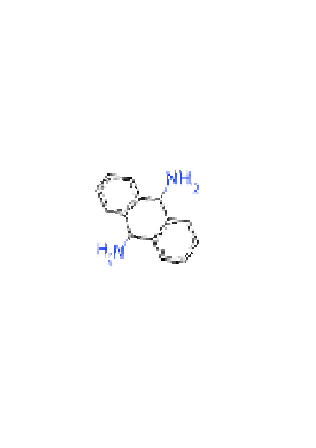 NC1c2ccccc2C(N)c2ccccc21